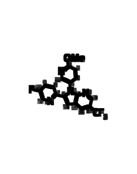 COc1ccc(-n2c(-c3ccc(F)cn3)cc3cc(C(F)(F)F)cnc32)cn1